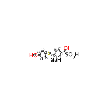 O=S(=O)(O)C(O)c1ccc(CSc2ccc(O)cc2)cc1.[NaH]